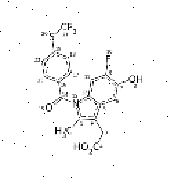 Cc1c(CC(=O)O)c2cc(O)c(F)cc2n1C(=O)c1ccc(SC(F)(F)F)cc1